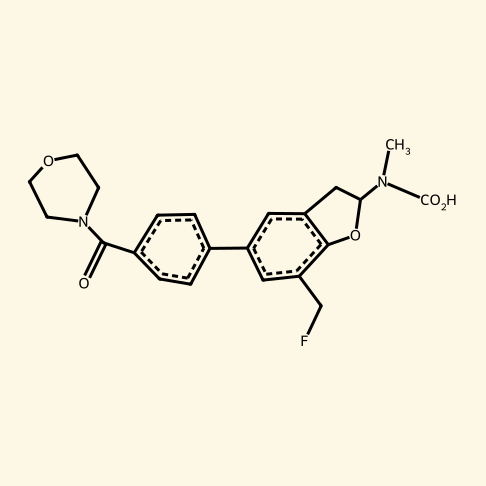 CN(C(=O)O)C1Cc2cc(-c3ccc(C(=O)N4CCOCC4)cc3)cc(CF)c2O1